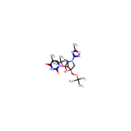 Cc1nc(N2C[C@]3(COC(C)(C)C)O[C@@H](n4cc(C)c(=O)[nH]c4=O)[C@H]2[C@@H]3OC(C)(C)C)no1